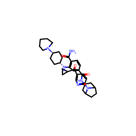 NC(=O)c1ccc(C(=O)NC2CC3CCC(C2)N3c2ccc(C(=O)C3CC3)cn2)cc1N[C@H]1CC[C@H](N2CCCCC2)CC1